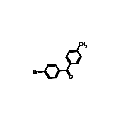 Cc1ccc(C(=O)c2ccc(Br)cc2)cc1